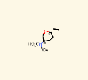 C=C[C@@H]1CC[C@@H](N(C(=O)O)C(C)(C)C)CO1